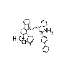 CC1(C)c2ccccc2-c2c1ccc1c3ccccc3n(C/C=C(\C=C(/N)c3ccc(-c4ccccc4)cc3)c3ccccc3)c21